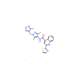 Cc1nonc1Cn1nc(C)c(NC(=O)c2cc(-c3nccs3)nc3ccccc23)c1C